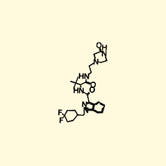 CC(C)(C)C(NC(=O)c1nn(CC2CCC(F)(F)CC2)c2ccccc12)C(=O)NCCN1CCNC(=O)C1